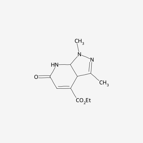 CCOC(=O)C1=CC(=O)NC2C1C(C)=NN2C